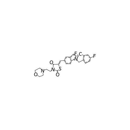 O=C1S/C(=C\c2ccc3c(ccn3Cc3ccc(F)cc3C(F)(F)F)c2)C(=O)N1CCN1CCOCC1